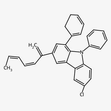 C=C(/C=C\C=C/C)c1cc(C2=CC=CCC2)c2c(c1)c1cc(Cl)ccc1n2-c1ccccc1